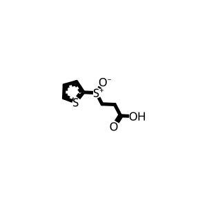 O=C(O)CC[S+]([O-])c1cccs1